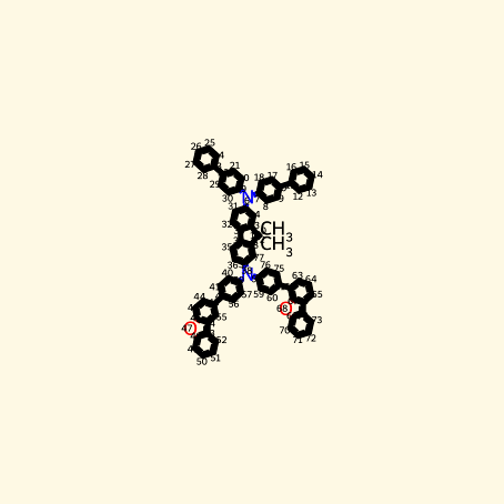 CC1(C)c2cc(N(c3ccc(-c4ccccc4)cc3)c3ccc(-c4ccccc4)cc3)ccc2-c2ccc(N(c3ccc(-c4ccc5oc6ccccc6c5c4)cc3)c3ccc(-c4cccc5c4oc4ccccc45)cc3)cc21